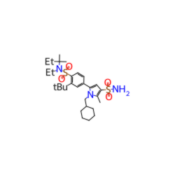 CCN(C(C)(C)CC)S(=O)(=O)c1ccc(-c2cc(S(N)(=O)=O)c(C)n2CC2CCCCC2)cc1C(C)(C)C